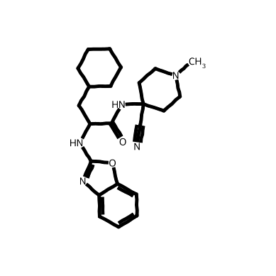 CN1CCC(C#N)(NC(=O)C(CC2CCCCC2)Nc2nc3ccccc3o2)CC1